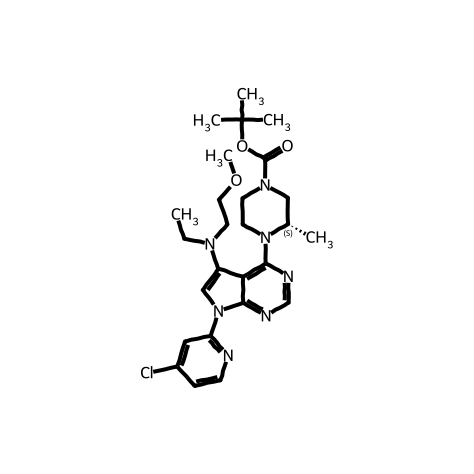 CCN(CCOC)c1cn(-c2cc(Cl)ccn2)c2ncnc(N3CCN(C(=O)OC(C)(C)C)C[C@@H]3C)c12